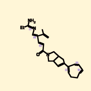 C=C(C)C(=C\N=C(\N)CC)/C=C/C(=O)N1CC2C=C(C3=C/CC/C=C/C=C\3)CC2C1